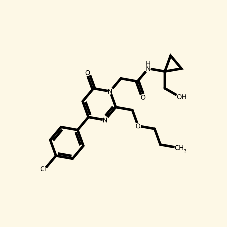 CCCOCc1nc(-c2ccc(Cl)cc2)cc(=O)n1CC(=O)NC1(CO)CC1